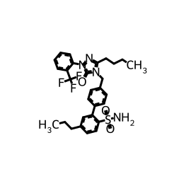 CCCCc1nn(-c2ccccc2C(F)(F)F)c(=O)n1Cc1ccc(-c2cc(CCC)ccc2S(N)(=O)=O)cc1